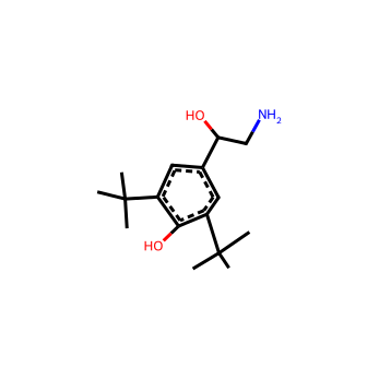 CC(C)(C)c1cc(C(O)CN)cc(C(C)(C)C)c1O